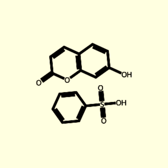 O=S(=O)(O)c1ccccc1.O=c1ccc2ccc(O)cc2o1